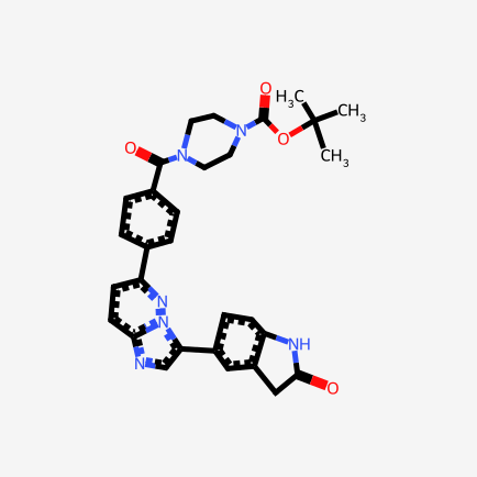 CC(C)(C)OC(=O)N1CCN(C(=O)c2ccc(-c3ccc4ncc(-c5ccc6c(c5)CC(=O)N6)n4n3)cc2)CC1